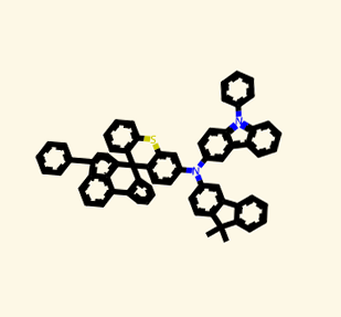 CC1(C)c2ccccc2-c2cc(N(c3ccc4c(c3)Sc3ccccc3C43c4ccccc4-c4cccc5c(-c6ccccc6)ccc3c45)c3ccc4c(c3)c3ccccc3n4-c3ccccc3)ccc21